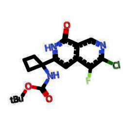 CC(C)(C)OC(=O)NC1(c2cc3c(F)c(Cl)ncc3c(=O)[nH]2)CCC1